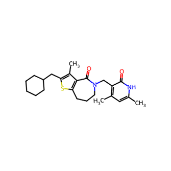 Cc1cc(C)c(CN2CCCc3sc(CC4CCCCC4)c(C)c3C2=O)c(=O)[nH]1